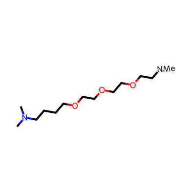 CNCCOCCOCCOCCCCN(C)C